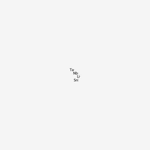 [Li].[Nb].[Sn].[Ta]